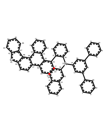 c1ccc(-c2cc(-c3ccccc3)cc(N(c3ccc4ccccc4c3)c3ccccc3-c3cccc4c5ccc6oc7ccccc7c6c5c5ccccc5c34)c2)cc1